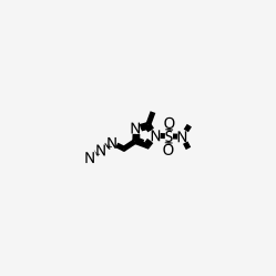 Cc1nc(CN=[N+]=[N-])cn1S(=O)(=O)N(C)C